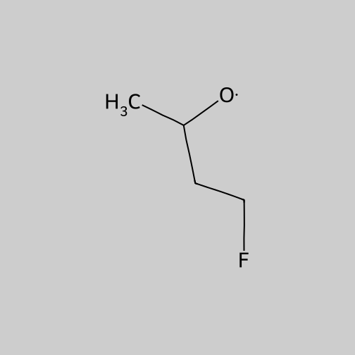 CC([O])CCF